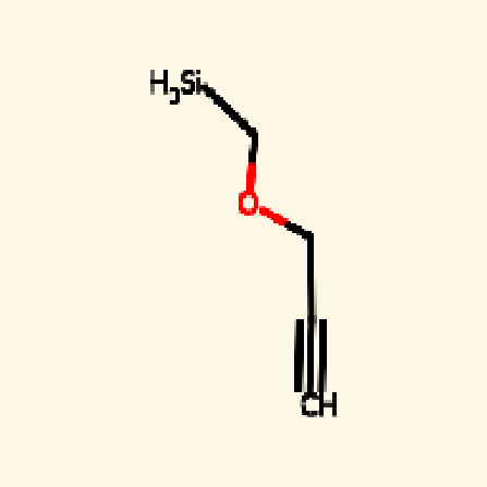 C#CCOC[SiH3]